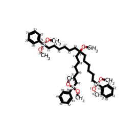 CO[Si](CCCCCCC(CCCCCC[Si](OC)(OC)c1ccccc1)(CCCCCC[Si](OC)(OC)c1ccccc1)O[SiH3])(OC)c1ccccc1